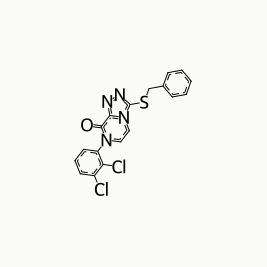 O=c1c2nnc(SCc3ccccc3)n2ccn1-c1cccc(Cl)c1Cl